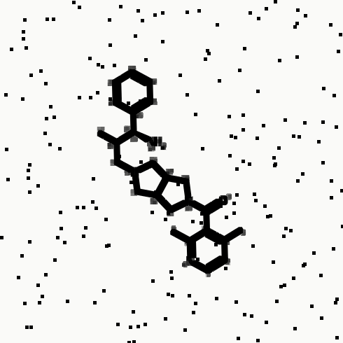 Cc1ccnc(C)c1C(=O)N1CC2CN(CC(C)[C@H](N)c3ccccc3)CC2C1